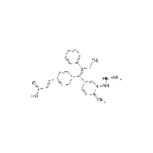 C=C1C=CC(/C(=C(\CC)c2ccccc2)C2C=CC(/C=C/C(=O)O)=CC2)=CN1NNN